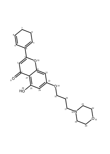 O=c1cc(C2=CCCC=C2)oc2cc(OCCCN3CCOCC3)cc(O)c12